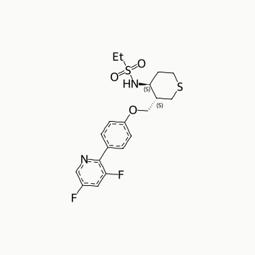 CCS(=O)(=O)N[C@H]1CCSC[C@@H]1COc1ccc(-c2ncc(F)cc2F)cc1